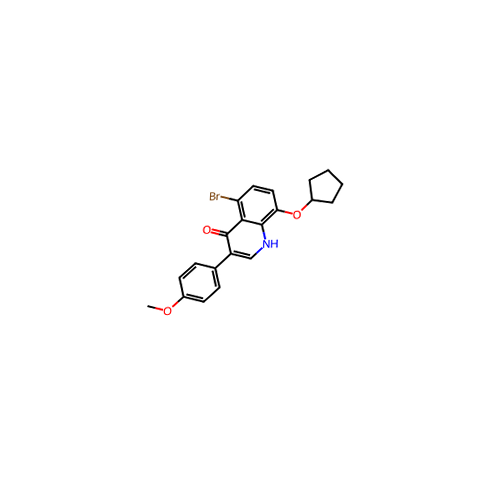 COc1ccc(-c2c[nH]c3c(OC4CCCC4)ccc(Br)c3c2=O)cc1